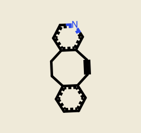 C1#Cc2cnccc2CCc2ccccc21